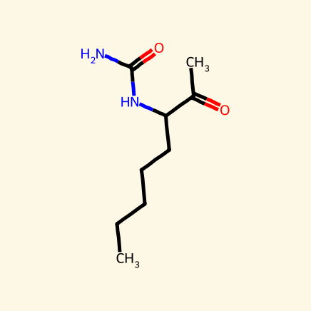 CCCCCC(NC(N)=O)C(C)=O